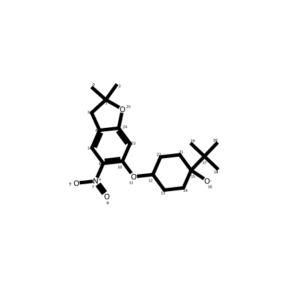 CC1(C)Cc2cc([N+](=O)[O-])c(OC3CCC([O])(C(C)(C)C)CC3)cc2O1